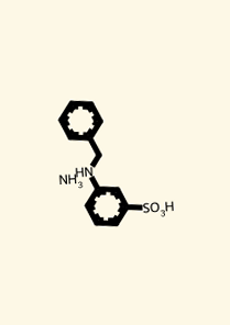 N.O=S(=O)(O)c1cccc(NCc2ccccc2)c1